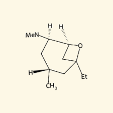 CCC12C[C@H](C)C[C@@H](NC)[C@H](C1)O2